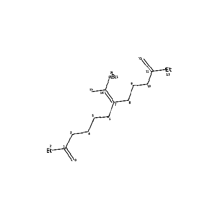 C=C(CC)CCCCC(CCCC(=C)CC)=C(C)CCCC